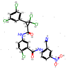 N#Cc1cc([N+](=O)[O-])ccc1NC(=O)c1cc(NC(=O)C2C(c3cc(Cl)cc(Cl)c3)C2(Cl)Cl)ccc1Cl